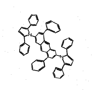 c1ccc(-c2cc(-n3c(-c4ccccc4)ccc3-c3ccccc3)cc3cc4c(-c5ccccc5)cc(-n5c(-c6ccccc6)ccc5-c5ccccc5)cc4cc23)cc1